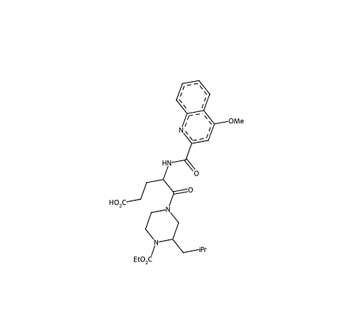 CCOC(=O)N1CCN(C(=O)C(CCC(=O)O)NC(=O)c2cc(OC)c3ccccc3n2)CC1CC(C)C